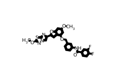 COc1cc(OCc2cccc(NC(=O)c3ccc(F)c(F)c3)c2)c2cc(-c3cn4nc(OC)sc4n3)oc2c1